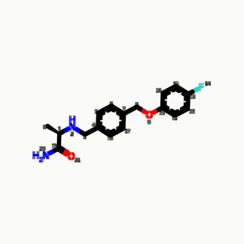 C[C@@H](NCc1ccc(COc2ccc(F)cc2)cc1)C(N)=O